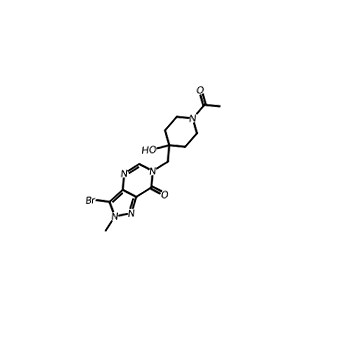 CC(=O)N1CCC(O)(Cn2cnc3c(Br)n(C)nc3c2=O)CC1